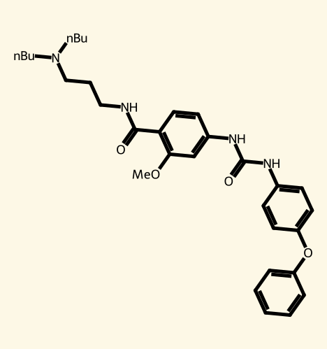 CCCCN(CCCC)CCCNC(=O)c1ccc(NC(=O)Nc2ccc(Oc3ccccc3)cc2)cc1OC